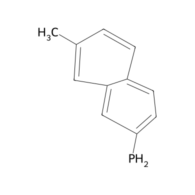 Cc1ccc2ccc(P)cc2c1